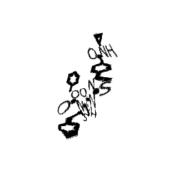 O=C(NC1CC1)c1ccc(-c2csc(NC(=O)[C@@H]3CSC(Cc4ccccc4)N3C(=O)OCc3ccccc3)n2)cc1